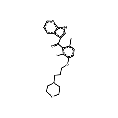 Cc1ccc(OCCCN2CCOCC2)c(F)c1C(=O)c1c[nH]c2ncccc12